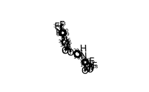 O=C(CO[C@H]1CC[C@H](Nc2ccc([N+](=O)[O-])c(C(F)(F)F)c2)CC1)N1CCN(c2ccc(C(F)F)nc2)CC1